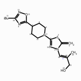 C=C1SC(N2CCC(c3nc(C(C)CC)no3)CC2)=NN1/C=C(\C)CO